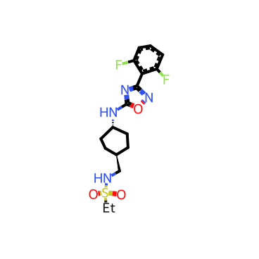 CCS(=O)(=O)NC[C@H]1CC[C@H](Nc2nc(-c3c(F)cccc3F)no2)CC1